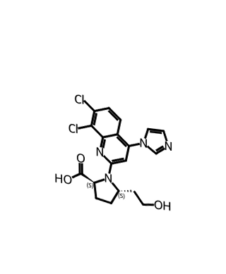 O=C(O)[C@@H]1CC[C@@H](CCO)N1c1cc(-n2ccnc2)c2ccc(Cl)c(Cl)c2n1